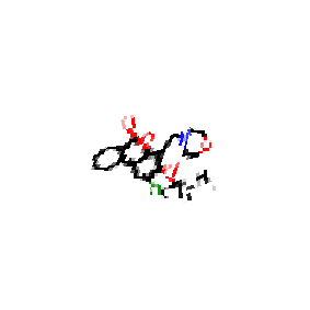 CC(C)Oc1c(Cl)cc2c3c(c(=O)oc2c1CN1CCOCC1)CCCC3